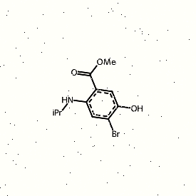 COC(=O)c1cc(O)c(Br)cc1NC(C)C